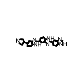 c1cc(-c2ccc3[nH]c(-c4ccc5[nH]c(-c6ccc7[nH]cnc7c6)nc5c4)nc3c2)ccn1